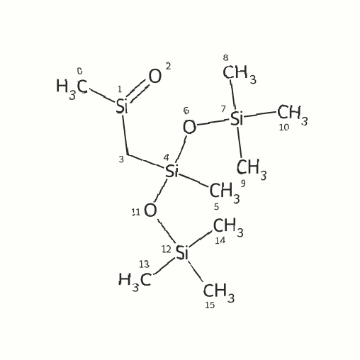 C[Si](=O)C[Si](C)(O[Si](C)(C)C)O[Si](C)(C)C